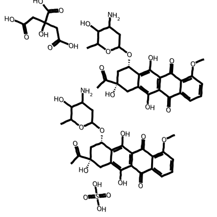 COc1cccc2c1C(=O)c1c(O)c3c(c(O)c1C2=O)C[C@@](O)(C(C)=O)C[C@@H]3OC1CC(N)C(O)C(C)O1.COc1cccc2c1C(=O)c1c(O)c3c(c(O)c1C2=O)C[C@@](O)(C(C)=O)C[C@@H]3OC1CC(N)C(O)C(C)O1.O=C(O)CC(O)(CC(=O)O)C(=O)O.O=S(=O)(O)O